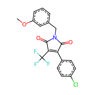 COc1cccc(CN2C(=O)C(c3ccc(Cl)cc3)=C(C(F)(F)F)C2=O)c1